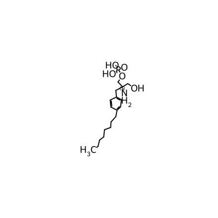 CCCCCCCCc1ccc(C[C@](N)(CO)COP(=O)(O)O)cc1